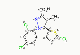 C[C@@H]1C(C(=O)O)=NN(c2ccc(Cl)cc2Cl)[C@@H]1c1ccc(Cl)s1